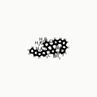 Bc1c(B)c(C)c2c(-c3ccc4c(c3)-c3cc5c(cc3C4)C=CC5)c3c(C)c(C)c(B)c(C)c3c(-c3ccc4c(c3)-c3c(ccc5c3-c3ccccc3C5)C4)c2c1B